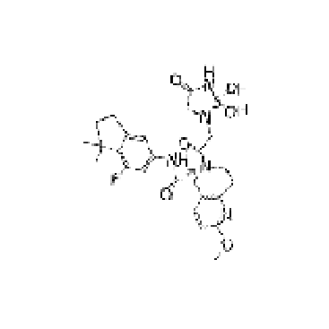 COc1ccc2c(n1)CCN(C(=O)CN1CC(=O)NS1(O)O)[C@H]2C(=O)Nc1cc(F)c2c(c1)CCC2(C)C